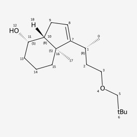 C[C@H](CCOCC(C)(C)C)C1=CC[C@H]2[C@@H](O)CCC[C@]12C